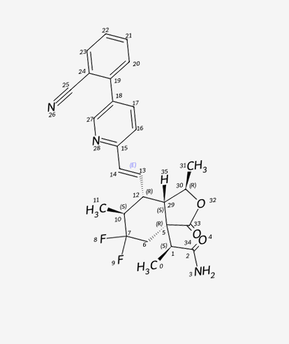 C[C@H](C(N)=O)[C@@]12CC(F)(F)[C@@H](C)[C@H](/C=C/c3ccc(-c4ccccc4C#N)cn3)[C@@H]1[C@@H](C)OC2=O